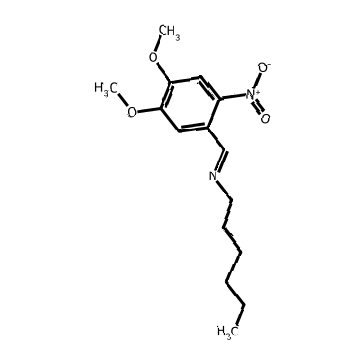 CCCCCC/N=C/c1cc(OC)c(OC)cc1[N+](=O)[O-]